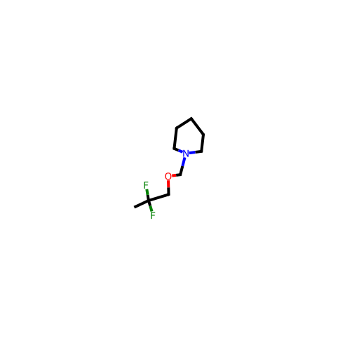 CC(F)(F)COCN1CCCCC1